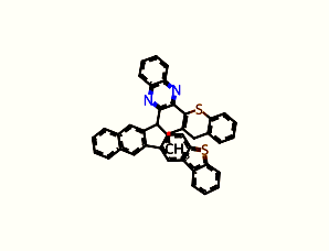 CCC1=C(c2nc3ccccc3nc2C2c3cc4ccccc4cc3-c3cc4c(cc32)sc2ccccc24)Sc2ccccc2C1